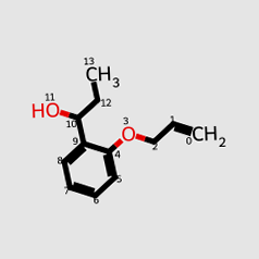 C=CCOc1ccccc1C(O)CC